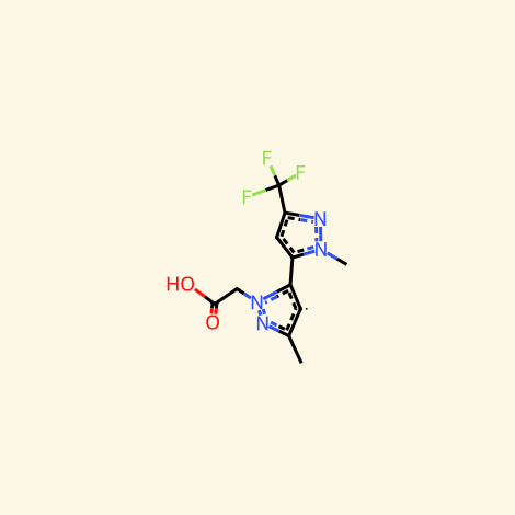 Cc1[c]c(-c2cc(C(F)(F)F)nn2C)n(CC(=O)O)n1